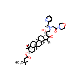 CC(C)C1=C2C(CC[C@]3(C)[C@@H]2CC[C@@H]2[C@@]4(C)CC[C@H](OC(=O)CC(C)(C)C(=O)O)C(C)(C)[C@@H]4CC[C@]23C)[C@H]([C@@H](O)CN(CC(=O)N2CCOCC2)[C@@H](C)c2ccccn2)C1=O